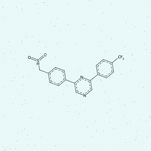 O=[SH](=O)Cc1ccc(-c2cncc(-c3ccc(C(F)(F)F)cc3)n2)cc1